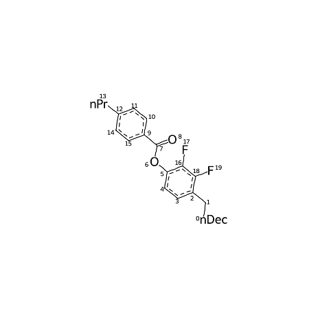 CCCCCCCCCCCc1ccc(OC(=O)c2ccc(CCC)cc2)c(F)c1F